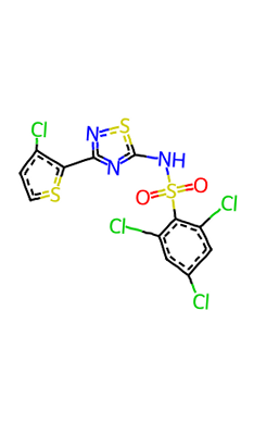 O=S(=O)(Nc1nc(-c2sccc2Cl)ns1)c1c(Cl)cc(Cl)cc1Cl